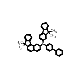 CC1(C)c2ccccc2-c2ccc(N(c3ccc(-c4ccccc4)cc3)C3C=Cc4ccc5c(c4C3)-c3ccccc3C5(C)C)cc21